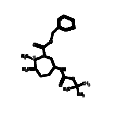 C=C1CCC(NC(=O)OC(C)(C)C)CN(C(=O)OCc2ccccc2)[C@H]1C